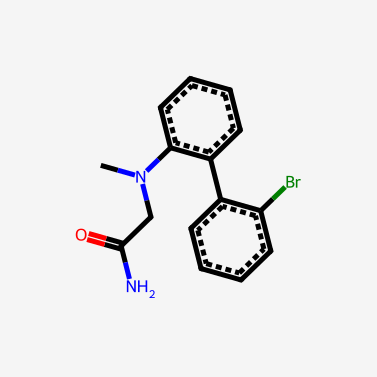 CN(CC(N)=O)c1ccccc1-c1ccccc1Br